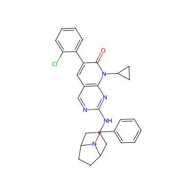 O=c1c(-c2ccccc2Cl)cc2cnc(NC3CC4CCC(C3)N4Cc3ccccc3)nc2n1C1CC1